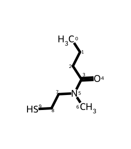 CCCC(=O)N(C)CCS